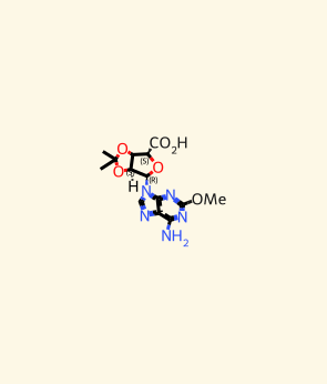 COc1nc(N)c2ncn([C@@H]3O[C@H](C(=O)O)C4OC(C)(C)O[C@@H]43)c2n1